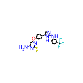 CSc1nc(N)cc(Oc2ccc(-c3cnc(Nc4cccc(C(F)(F)F)c4)[nH]3)cc2)n1